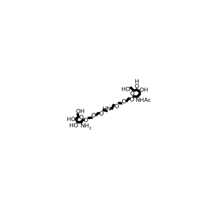 CC(=O)NC1CC(O)[C@@H](O)C(CO)O[C@H]1OCCOCCOCCNCCOCCOCCO[C@@H]1OC(CO)[C@H](O)C(O)C1N